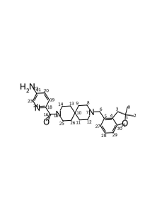 CC1(C)Cc2c(CN3CCC4(CC3)CCN(C(=O)c3ccc(N)cn3)CC4)cccc2O1